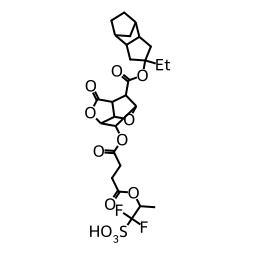 CCC1(OC(=O)C2C3OC4C(OC(=O)C42)C3OC(=O)CCC(=O)OC(C)C(F)(F)S(=O)(=O)O)CC2C3CCC(C3)C2C1